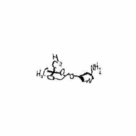 CC1(C)OCC(COc2cncc(N)c2)O1